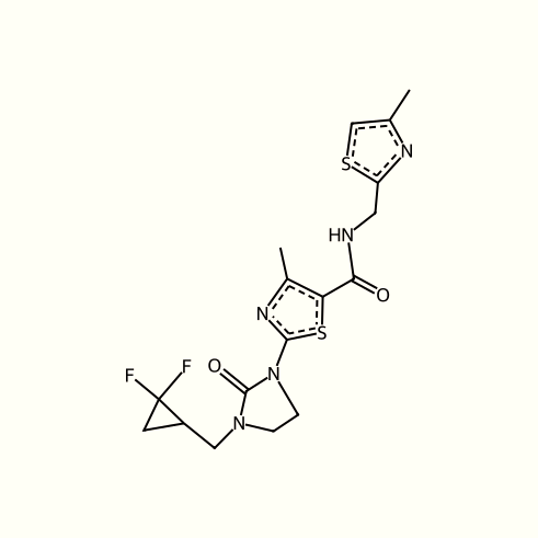 Cc1csc(CNC(=O)c2sc(N3CCN(CC4CC4(F)F)C3=O)nc2C)n1